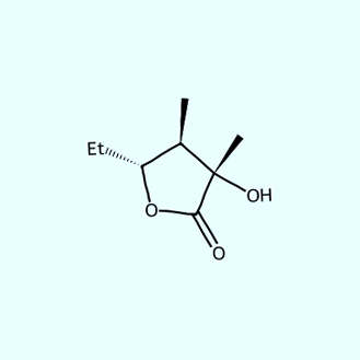 CC[C@H]1OC(=O)[C@@](C)(O)[C@@H]1C